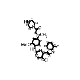 COc1cc(N(C)CC(=O)N2CCNCC2)ccc1Nc1ncc(Cl)c(-c2cnc3c(F)cccn23)n1